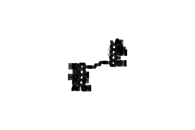 C=C1C2=C(O)[C@]3(O)C(=O)C(C(C)=O)=C(C)C[C@]3(C)C[C@]2(C)Cc2c(C#CCCCCC#Cc3ccc(O)c4c3C[C@H]3C[C@H]5CC(O)=C(C(C)=O)C(=O)[C@@]5(C)C(O)=C3C4=O)ccc(O)c21